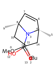 COC(=O)N1[C@@]2(C)C=C[C@]1(C)C[C@@](O)(C(C)(C)C)C2